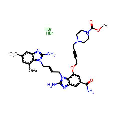 Br.Br.COc1cc(C(=O)O)cc2nc(N)n(C/C=C/Cn3c(N)nc4cc(C(N)=O)cc(OCC#CCN5CCN(C(=O)OC(C)C)CC5)c43)c12